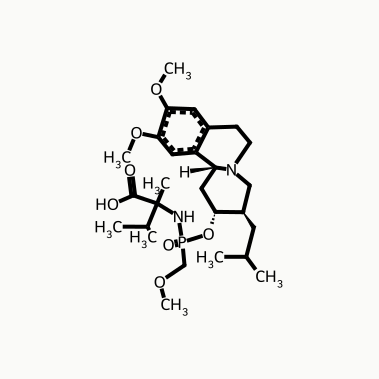 COCP(=O)(NC(C)(C(=O)O)C(C)C)O[C@@H]1C[C@@H]2c3cc(OC)c(OC)cc3CCN2C[C@H]1CC(C)C